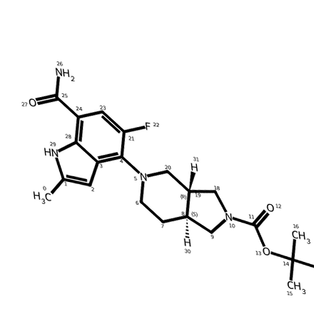 Cc1cc2c(N3CC[C@@H]4CN(C(=O)OC(C)(C)C)C[C@H]4C3)c(F)cc(C(N)=O)c2[nH]1